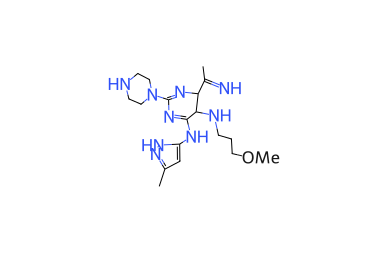 COCCCNC1C(Nc2cc(C)n[nH]2)=NC(N2CCNCC2)=NC1C(C)=N